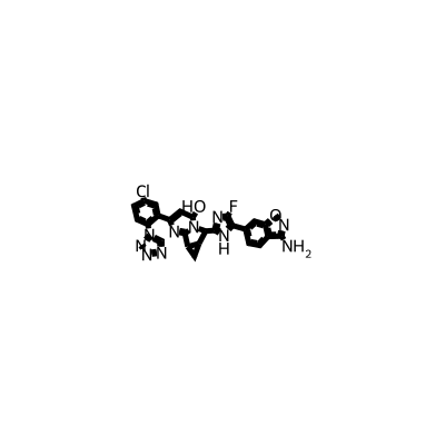 Nc1noc2cc(-c3[nH]c(C4C5CC5C5=NC(c6cc(Cl)ccc6-n6cnnn6)=CC(O)N54)nc3F)ccc12